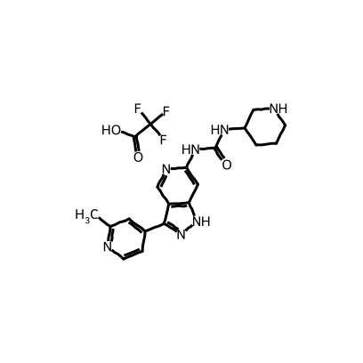 Cc1cc(-c2n[nH]c3cc(NC(=O)NC4CCCNC4)ncc23)ccn1.O=C(O)C(F)(F)F